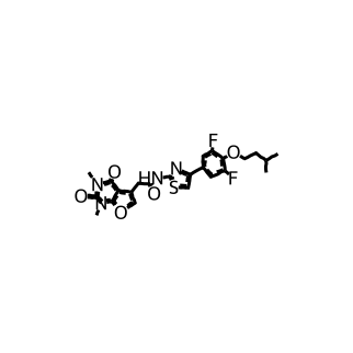 CC(C)CCOc1c(F)cc(-c2csc(NC(=O)Cc3coc4c3c(=O)n(C)c(=O)n4C)n2)cc1F